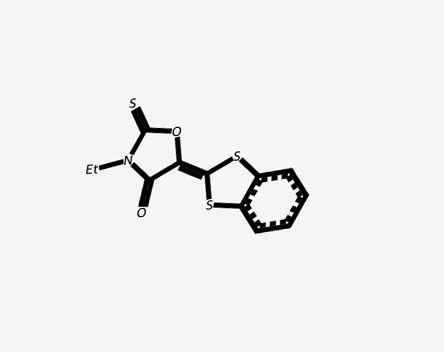 CCN1C(=O)C(=C2Sc3ccccc3S2)OC1=S